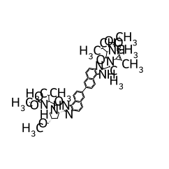 COC[C@H]1C[C@@H](c2nc3ccc4cc(-c5ccc6c(ccc7nc([C@H](C)N(C(=O)[C@@H](NC(=O)OC)C(C)C)C8C(C)=C8C)[nH]c76)c5)ccc4c3[nH]2)N(C(=O)[C@@H](NC(=O)OC)C(C)C)C1